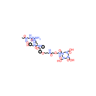 CCC(=O)NCCNC(=O)/N=C(/N)NCCC[C@@H](NC(=O)[C@H](c1ccccc1)c1cccc(OCCCCNC(=O)CCOCCNC(C=O)N2CCN(CC(=O)O)CCN(CC(=O)O)CCN(CC(=O)O)CC2)c1)C(=O)NCc1ccc(O)cc1